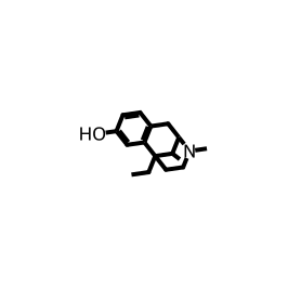 CCC12CCN(C)C(Cc3ccc(O)cc31)C2C